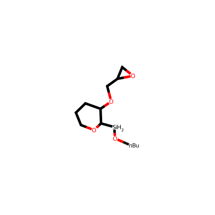 CCCCO[SiH2]C1OCCCC1OCC1CO1